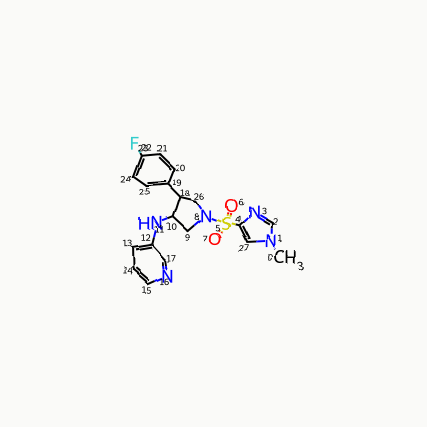 Cn1cnc(S(=O)(=O)N2CC(Nc3cccnc3)C(c3ccc(F)cc3)C2)c1